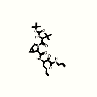 C=CCCC(NC(=O)C1C2CC2CN1C(=O)C(NC(=O)OC(C)(C)C)C(C)(C)C)C(=O)C(=O)NCC=C